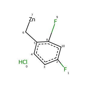 Cl.Fc1ccc([CH2][Zn])c(F)c1